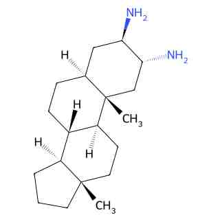 C[C@@]12CCC[C@H]1[C@@H]1CC[C@H]3C[C@@H](N)[C@H](N)C[C@]3(C)[C@H]1CC2